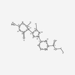 CCOC(=O)c1nccc(-n2cc(-n3c(C)cc(O)cc3=O)c(C)n2)n1